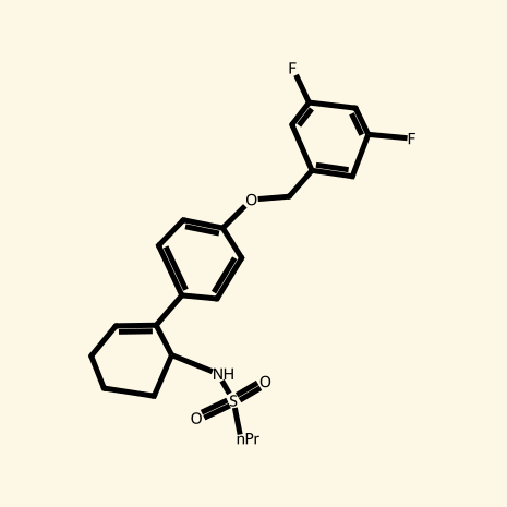 CCCS(=O)(=O)NC1CCCC=C1c1ccc(OCc2cc(F)cc(F)c2)cc1